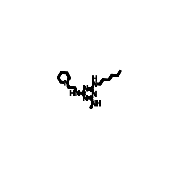 CCCCCCNc1nc(NC)nc(NCCN2CCCCC2)n1